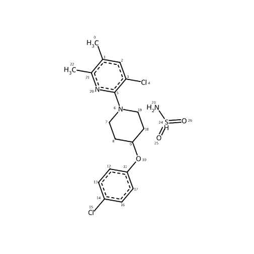 Cc1cc(Cl)c(N2CCC(Oc3ccc(Cl)cc3)CC2)nc1C.N[SH](=O)=O